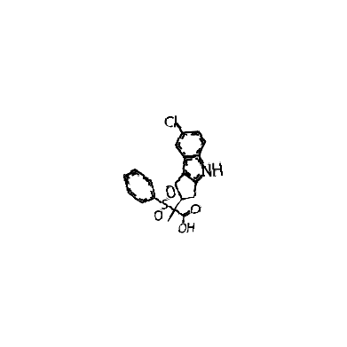 CC(C(=O)O)(C1Cc2[nH]c3ccc(Cl)cc3c2C1)S(=O)(=O)c1ccccc1